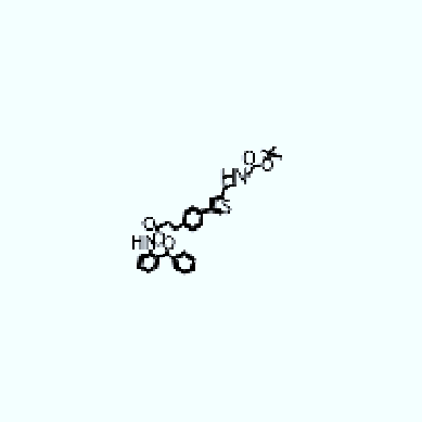 CC(C)(C)OC(=O)CNCCc1cc(-c2ccc(CCC(=O)ONc3ccccc3C(=O)c3ccccc3)cc2)cs1